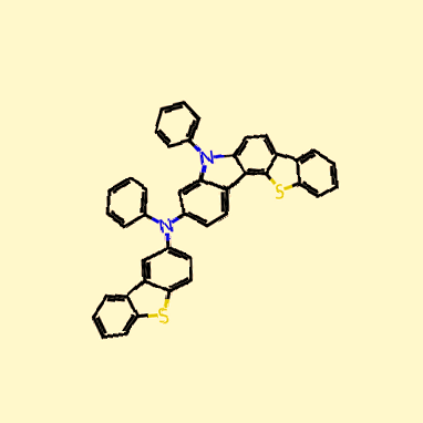 c1ccc(N(c2ccc3sc4ccccc4c3c2)c2ccc3c4c5sc6ccccc6c5ccc4n(-c4ccccc4)c3c2)cc1